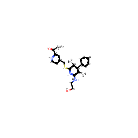 CNC(=O)c1cc(CSc2nc(NCCO)c(C#N)c(-c3ccccc3)c2C#N)ccn1